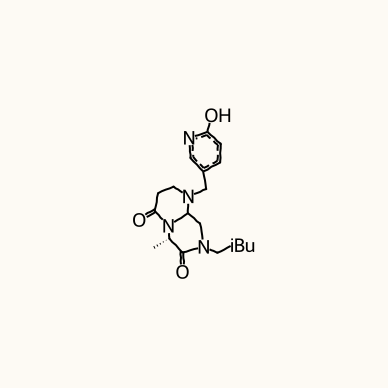 CCC(C)CN1CC2N(Cc3ccc(O)nc3)CCC(=O)N2[C@@H](C)C1=O